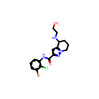 O=C(Nc1cccc(Br)c1Cl)c1cc2n(n1)CCCC2NCCO